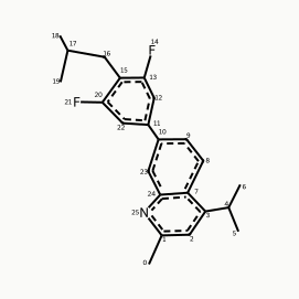 Cc1cc(C(C)C)c2ccc(-c3cc(F)c(CC(C)C)c(F)c3)cc2n1